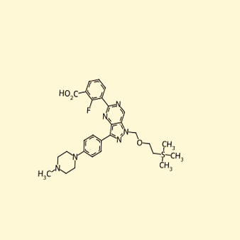 CN1CCN(c2ccc(-c3nn(COCCS(C)(C)C)c4cnc(-c5cccc(C(=O)O)c5F)nc34)cc2)CC1